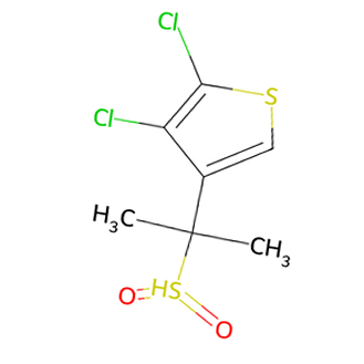 CC(C)(c1csc(Cl)c1Cl)[SH](=O)=O